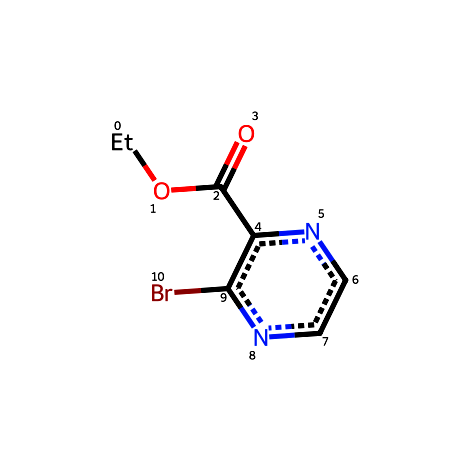 CCOC(=O)c1nccnc1Br